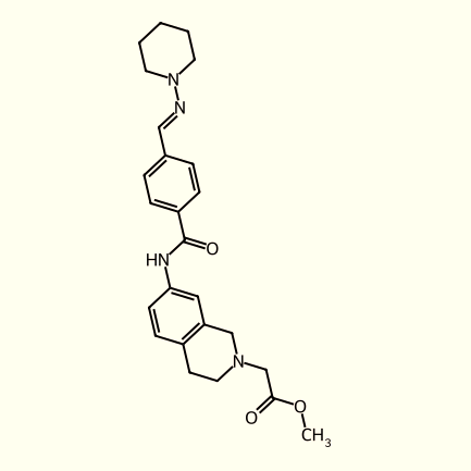 COC(=O)CN1CCc2ccc(NC(=O)c3ccc(C=NN4CCCCC4)cc3)cc2C1